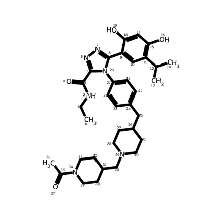 CCNC(=O)c1nnc(-c2cc(C(C)C)c(O)cc2O)n1-c1ccc(CC2CCN(CC3CCN(C(C)=O)CC3)CC2)cc1